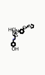 Cl.Oc1ccc(/C=C/c2cnc(Nc3cccc(OCCN4CCCC4)c3)s2)cc1